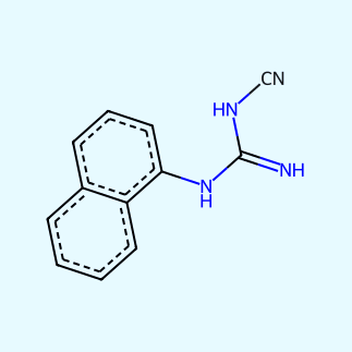 N#CNC(=N)Nc1cccc2ccccc12